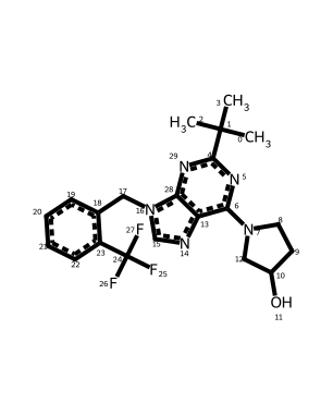 CC(C)(C)c1nc(N2CCC(O)C2)c2ncn(Cc3ccccc3C(F)(F)F)c2n1